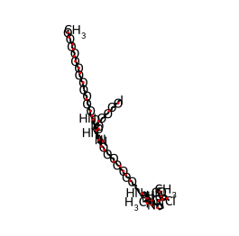 COCCOCCOCCOCCOCCOCCOCCOCCOCCOCCOCCOCCNC(=O)CN(CC(=O)NCCn1cc(COCCOCCOCCOCCOCCOCCOCCCCN[C@H]2CCN(c3nc4cc(C5CCCCN5C(=O)c5cc(Cl)ccc5NS(C)(=O)=O)nn4cc3C)C2)nn1)C(=O)CCOCCOCCOCCOCI